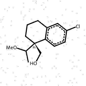 COC(C)[C@]1(CO)CCCc2cc(Cl)ccc21